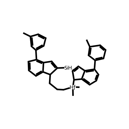 Cc1cccc(-c2cccc3c2C=C2[SiH2]C4=Cc5c(-c6cccc(C)c6)cccc5[CH]4[Hf]([CH3])([CH3])[CH2]CCC23)c1